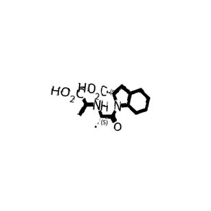 CC(N[C@@H](C)C(=O)N1C2CCCCC2C[C@H]1C(=O)O)C(=O)O